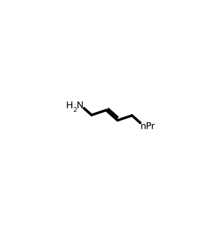 CCCC/C=C/CN